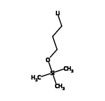 [Li][CH2]CCO[Si](C)(C)C